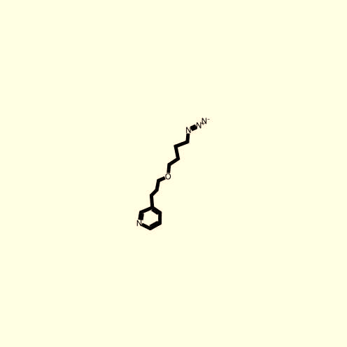 [N-]=[N+]=NCCCCOCCCc1cccnc1